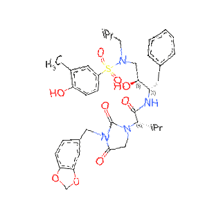 Cc1cc(S(=O)(=O)N(CC(C)C)C[C@H](O)[C@H](Cc2ccccc2)NC(=O)[C@H](C(C)C)N2CC(=O)N(Cc3ccc4c(c3)OCO4)C2=O)ccc1O